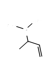 C=CC(C)[SiH](OC(C)=O)OC(C)=O